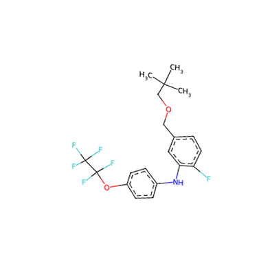 CC(C)(C)COCc1ccc(F)c(Nc2ccc(OC(F)(F)C(F)(F)F)cc2)c1